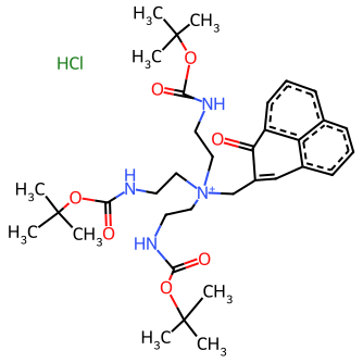 CC(C)(C)OC(=O)NCC[N+](CCNC(=O)OC(C)(C)C)(CCNC(=O)OC(C)(C)C)CC1=Cc2cccc3cccc(c23)C1=O.Cl